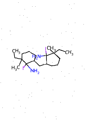 CCC1(C)CCCC(CC2CCCC(C)(CC)C2(N)I)C1(N)I